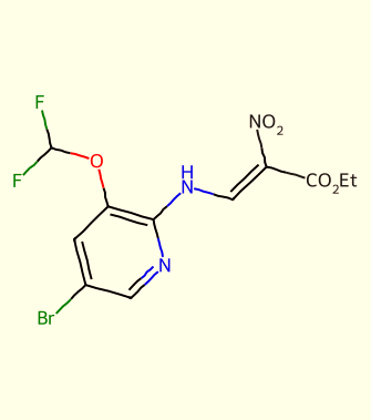 CCOC(=O)/C(=C/Nc1ncc(Br)cc1OC(F)F)[N+](=O)[O-]